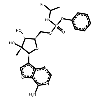 CC(C)C(C)NP(=O)(OC[C@H]1O[C@@H](c2coc3c(N)ncnc23)[C@](C)(O)[C@@H]1O)Oc1ccccc1